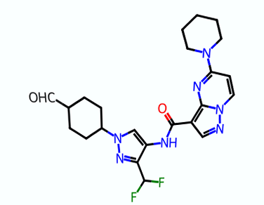 O=CC1CCC(n2cc(NC(=O)c3cnn4ccc(N5CCCCC5)nc34)c(C(F)F)n2)CC1